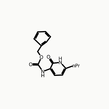 CCCc1ccc(NC(=O)OCc2ccccc2)c(=O)[nH]1